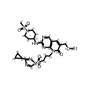 CCOCc1cc2cnc(NC3CCN(S(C)(=O)=O)CC3)nc2n(CCCS(=O)(=O)n2cnc(C3CC3)n2)c1=O